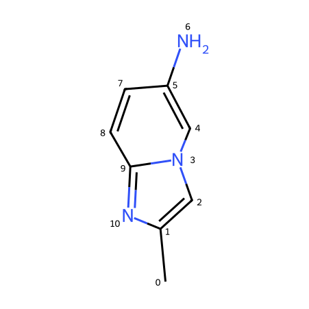 Cc1cn2cc(N)ccc2n1